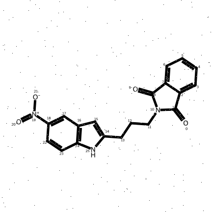 O=C1c2ccccc2C(=O)N1CCCc1cc2cc([N+](=O)[O-])ccc2[nH]1